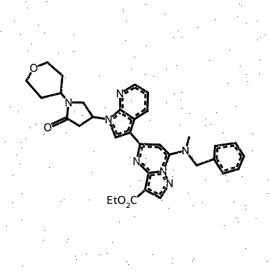 CCOC(=O)c1cnn2c(N(C)Cc3ccccc3)cc(-c3cn(C4CC(=O)N(C5CCOCC5)C4)c4ncccc34)nc12